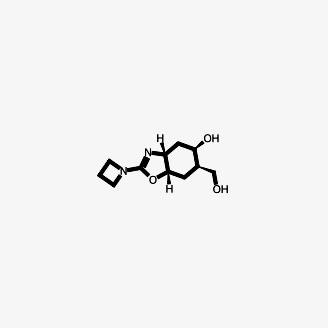 OC[C@H]1C[C@@H]2OC(N3CCC3)=N[C@@H]2C[C@H]1O